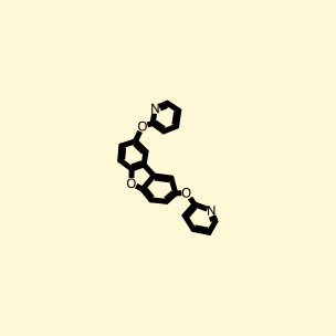 c1ccc(Oc2ccc3oc4ccc(Oc5ccccn5)cc4c3c2)nc1